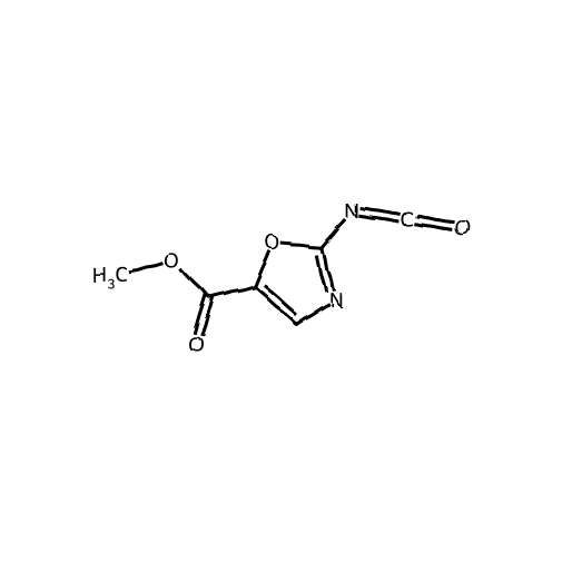 COC(=O)c1cnc(N=C=O)o1